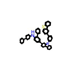 c1ccc(-c2ccc(Nc3ccc(-c4ccc5c6ccccc6n(-c6cccc(-c7ccc8sc9ccccc9c8c7)c6)c5c4)cc3-c3ccccc3)cc2)cc1